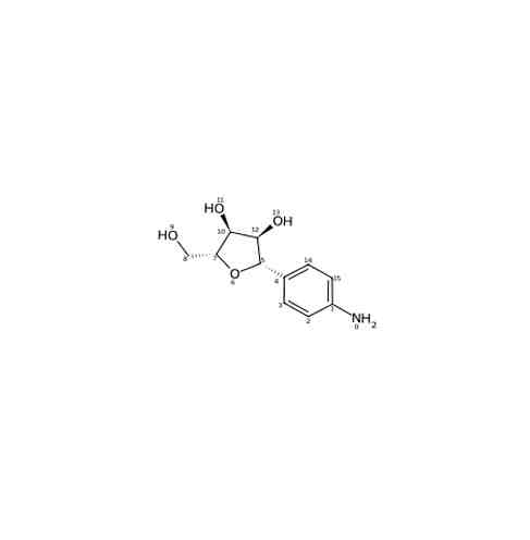 Nc1ccc([C@@H]2O[C@H](CO)[C@@H](O)[C@H]2O)cc1